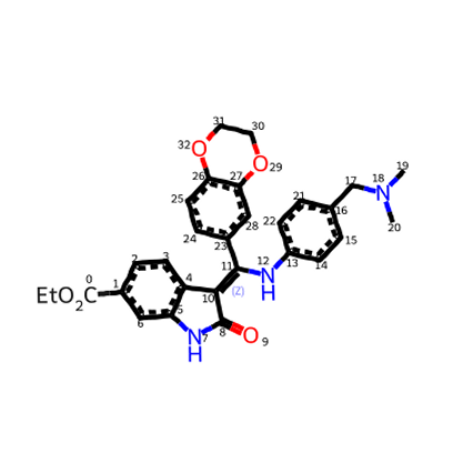 CCOC(=O)c1ccc2c(c1)NC(=O)/C2=C(\Nc1ccc(CN(C)C)cc1)c1ccc2c(c1)OCCO2